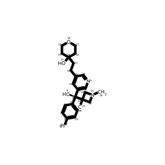 CC(C)c1ccc([C@](O)(c2cncc(CCC3(O)CCOCC3)c2)C2(C)CN(C)C2)cc1